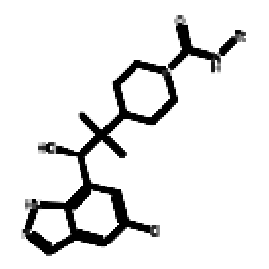 CCNC(=O)N1CCC(C(C)(C)[C@H](O)c2cc(Cl)cc3cn[nH]c23)CC1